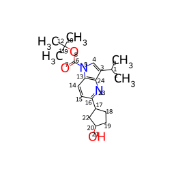 CC(C)c1cn(C(=O)OC(C)(C)C)c2ccc(C3CCC(O)C3)nc12